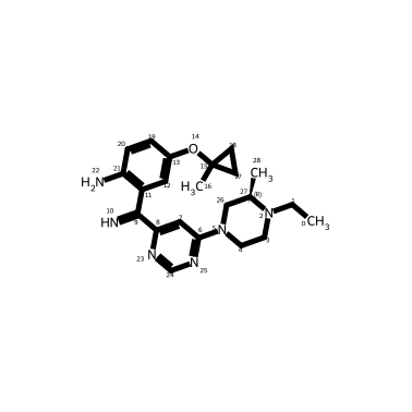 CCN1CCN(c2cc(C(=N)c3cc(OC4(C)CC4)ccc3N)ncn2)C[C@H]1C